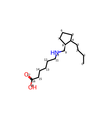 CCCCC1CCC[C@@H]1CNCCCCCC(=O)O